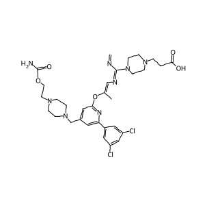 C=N/C(=N\C=C(/C)Oc1cc(CN2CCN(CCOC(N)=O)CC2)cc(-c2cc(Cl)cc(Cl)c2)n1)N1CCN(CCC(=O)O)CC1